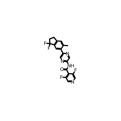 Cc1cc2c(cc1-c1cnc(NC(=O)c3c(F)cncc3F)cn1)C(F)(F)CC2